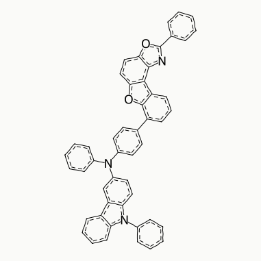 c1ccc(-c2nc3c(ccc4oc5c(-c6ccc(N(c7ccccc7)c7ccc8c(c7)c7ccccc7n8-c7ccccc7)cc6)cccc5c43)o2)cc1